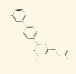 COC(=O)CCC(=O)NC(CCC(=O)O)c1ccc(-c2cccc([N+](=O)[O-])c2)cc1